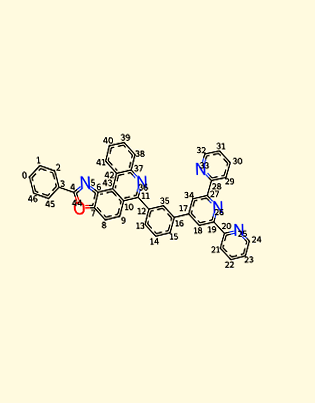 c1ccc(-c2nc3c(ccc4c(-c5cccc(-c6cc(-c7ccccn7)nc(-c7ccccn7)c6)c5)nc5ccccc5c43)o2)cc1